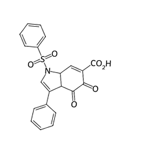 O=C(O)C1=CC2C(C(=O)C1=O)C(c1ccccc1)=CN2S(=O)(=O)c1ccccc1